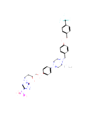 C[C@@H]1CN(c2ccc(OC[C@@H]3CCn4cc([N+](=O)[O-])nc4O3)cc2)CCN1Cc1ccc(OCc2ccc(C(F)(F)F)cc2)cc1